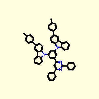 Cc1ccc(-c2ccc3c(c2)c2ccccc2n3-c2cc(-c3cc(-c4ccccc4)nc(-c4ccccc4)n3)cc(-n3c4ccccc4c4cc(-c5ccc(C)cc5)ccc43)c2)cc1